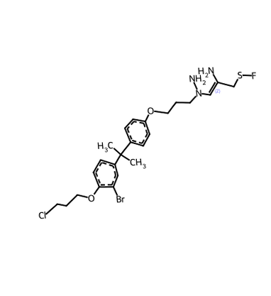 CC(C)(c1ccc(OCCCN(N)/C=C(\N)CSF)cc1)c1ccc(OCCCCl)c(Br)c1